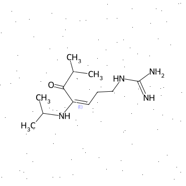 CC(C)N/C(=C/CCNC(=N)N)C(=O)C(C)C